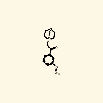 COc1cccc(C(=O)C[N+]23CCN(CC2)CC3)c1